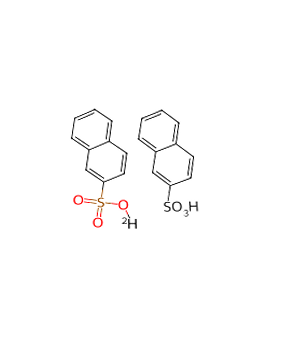 O=S(=O)(O)c1ccc2ccccc2c1.[2H]OS(=O)(=O)c1ccc2ccccc2c1